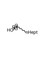 CCCCCCCCCCCCCC(=O)OC(=O)CO